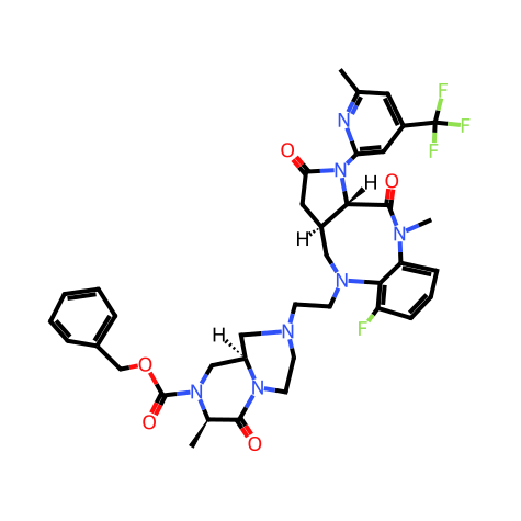 Cc1cc(C(F)(F)F)cc(N2C(=O)C[C@@H]3CN(CCN4CCN5C(=O)[C@@H](C)N(C(=O)OCc6ccccc6)C[C@H]5C4)c4c(F)cccc4N(C)C(=O)[C@H]32)n1